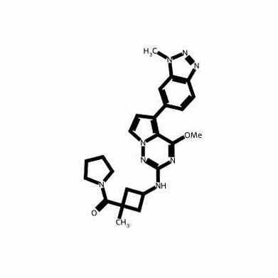 COc1nc(NC2CC(C)(C(=O)N3CCCC3)C2)nn2ccc(-c3ccc4nnn(C)c4c3)c12